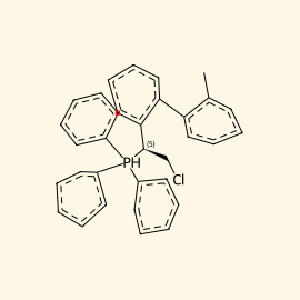 Cc1ccccc1-c1ccccc1[C@@H](CCl)[PH](c1ccccc1)(c1ccccc1)c1ccccc1